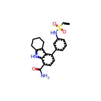 C=CS(=O)(=O)Nc1cccc(-c2ccc(C(N)=O)c3[nH]c4c(c23)CCCC4)c1